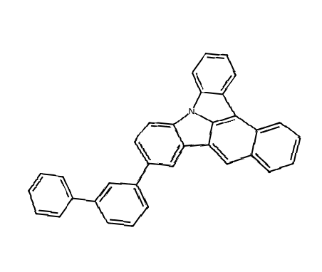 c1ccc(-c2cccc(-c3ccc4c(c3)c3cc5ccccc5c5c6ccccc6n4c35)c2)cc1